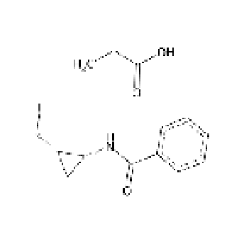 CCC(=O)O.O=C(N[C@@H]1C[C@@H]1CF)c1ccccc1